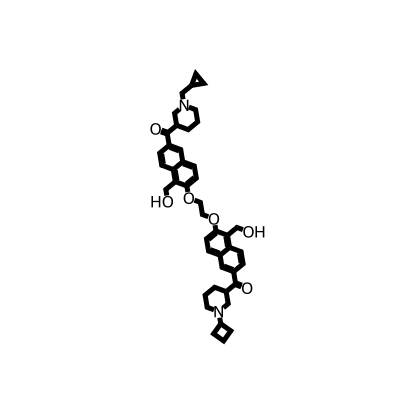 O=C(c1ccc2c(CO)c(OCCOc3ccc4cc(C(=O)C5CCCN(C6CCC6)C5)ccc4c3CO)ccc2c1)C1CCCN(CC2CC2)C1